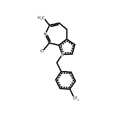 CC1=CCc2ccn(Cc3ccc(C(F)(F)F)cc3)c2C(Cl)=N1